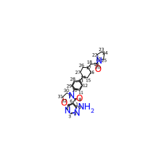 Nc1ncnc2c1C(=O)N(c1ccc(C3CCC(CC(=O)N4CCCC4)CC3)cc1)CCO2